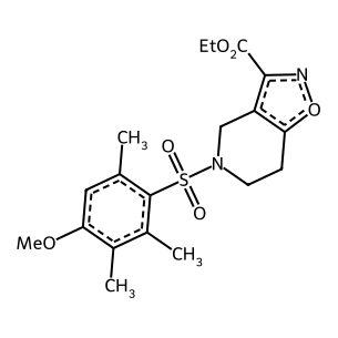 CCOC(=O)c1noc2c1CN(S(=O)(=O)c1c(C)cc(OC)c(C)c1C)CC2